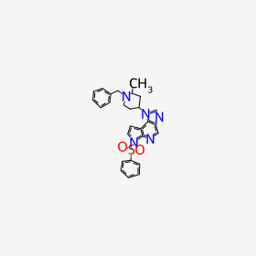 CC1CC(n2cnc3cnc4c(ccn4S(=O)(=O)c4ccccc4)c32)CCN1Cc1ccccc1